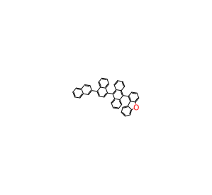 c1ccc2cc(-c3ccc(-c4c5ccccc5c(-c5cccc6oc7ccccc7c56)c5ccccc45)c4ccccc34)ccc2c1